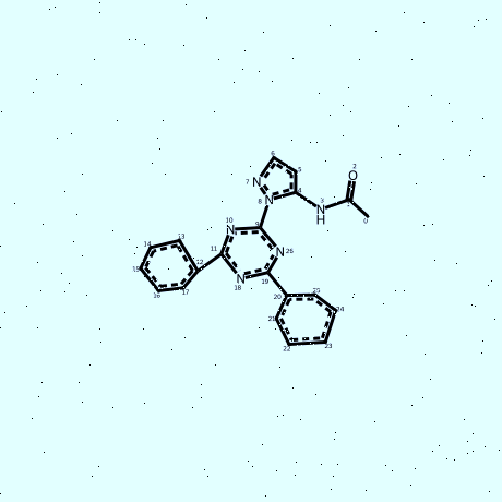 CC(=O)Nc1ccnn1-c1nc(-c2ccccc2)nc(-c2ccccc2)n1